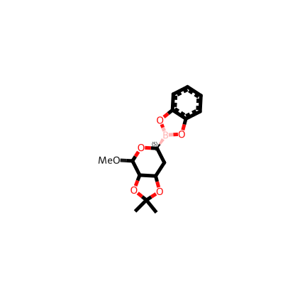 COC1O[C@@H](B2Oc3ccccc3O2)CC2OC(C)(C)OC21